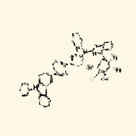 [2H]c1c([2H])c([2H])c(-c2nc(-n3c4ccccc4c4cc(-c5ccc(-c6ccc7c(c6)c6ccccc6n7-c6ccccc6)cc5)ccc43)nc3ccccc23)c([2H])c1[2H]